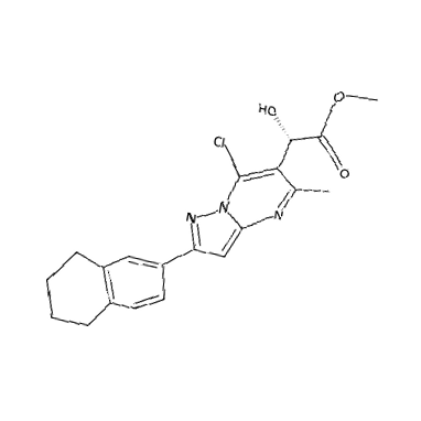 COC(=O)[C@@H](O)c1c(C)nc2cc(-c3ccc4c(c3)CCCC4)nn2c1Cl